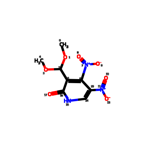 COC(OC)c1c([N+](=O)[O-])c([N+](=O)[O-])c[nH]c1=O